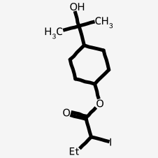 CCC(I)C(=O)OC1CCC(C(C)(C)O)CC1